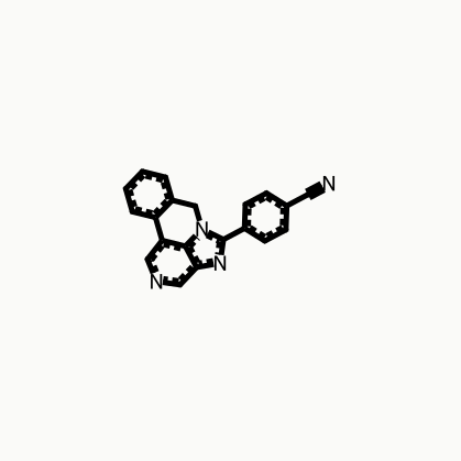 N#Cc1ccc(-c2nc3cncc4c3n2Cc2ccccc2-4)cc1